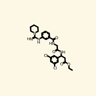 CCOC(=O)CC(NC(=O)CNC(=O)c1cccc(NC(=N)N2CCCCC2)c1)c1cc(Cl)cc(Cl)c1